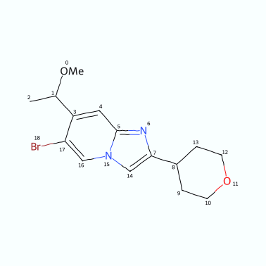 COC(C)c1cc2nc(C3CCOCC3)cn2cc1Br